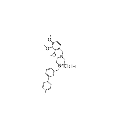 COc1ccc(CN2CCN(Cc3cccc(-c4ccc(C)cc4)c3)CC2)c(OC)c1OC.Cl.Cl